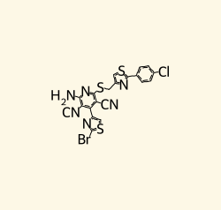 [C-]#[N+]c1c(N)nc(SCc2csc(-c3ccc(Cl)cc3)n2)c(C#N)c1-c1csc(Br)n1